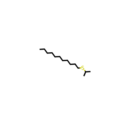 CCCCCCCCCCCSC(C)C